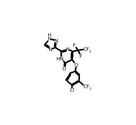 O=c1[nH]c(-c2nc[nH]n2)nc(C(F)(F)C(F)(F)F)c1Oc1ccc(Cl)c(C(F)(F)F)c1